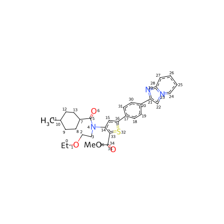 CCOCCN(C(=O)C1CCC(C)CC1)c1cc(-c2ccc(-c3cn4ccccc4n3)cc2)sc1C(=O)OC